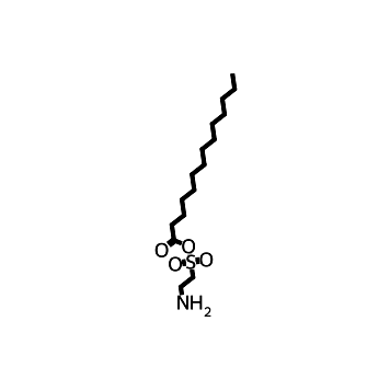 CCCCCCCCCCCCCC(=O)OS(=O)(=O)CCN